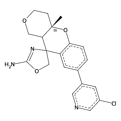 C[C@]12CCOCC1C1(COC(N)=N1)c1cc(-c3cncc(Cl)c3)ccc1O2